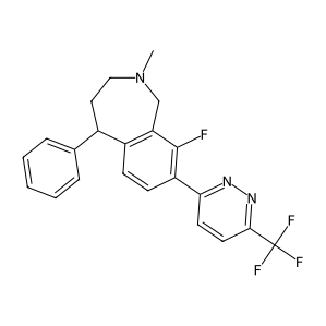 CN1CCC(c2ccccc2)c2ccc(-c3ccc(C(F)(F)F)nn3)c(F)c2C1